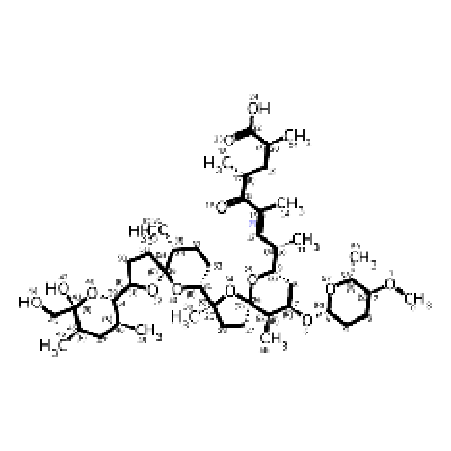 CO[C@H]1CC[C@H](O[C@@H]2C[C@@H]([C@@H](C)/C=C(\C)C(=O)[C@H](C)C[C@H](C)C(=O)O)O[C@@]3(CC[C@@](C)([C@H]4CC[C@@H](C)[C@@]5(O[C@@H]([C@H]6O[C@@](O)(CO)[C@H](C)C[C@@H]6C)C[C@@H]5C)O4)O3)[C@@H]2C)O[C@@H]1C